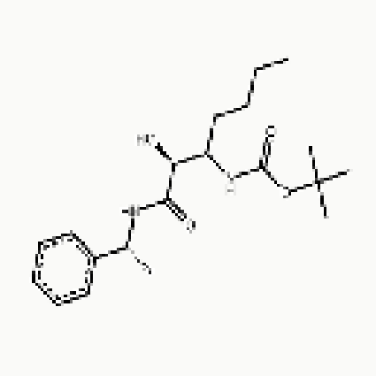 CCCCC(NC(=O)OC(C)(C)C)[C@H](O)C(=O)N[C@H](C)c1ccccc1